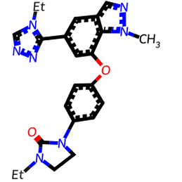 CCN1CCN(c2ccc(Oc3cc(-c4nncn4CC)cc4cnn(C)c34)cc2)C1=O